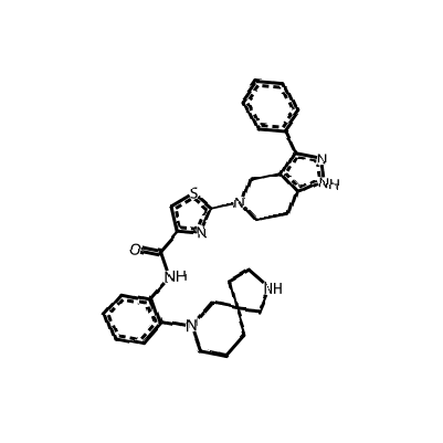 O=C(Nc1ccccc1N1CCCC2(CCNC2)C1)c1csc(N2CCc3[nH]nc(-c4ccccc4)c3C2)n1